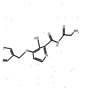 NCC(=O)NC(=O)c1nccc(OCc2ccccc2)c1O